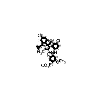 CCOC(=O)c1cc2nc([C@@H]3[C@H](C)N(CC4CC4)[C@@]4(C(=O)Nc5cc(Cl)ccc54)[C@H]3c3cccc(Cl)c3F)[nH]c2cc1OC(F)(F)F